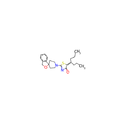 CCCC(CCC)=C1SC(N2CCC3(CC2)OCc2ccccc23)=NC1=O